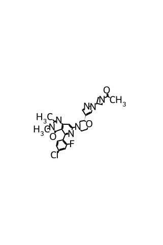 CC(=O)N1CC(n2cc([C@H]3CN(c4cc5nc(C)n(C)c(=O)c5c(-c5ccc(Cl)cc5F)n4)CCO3)cn2)C1